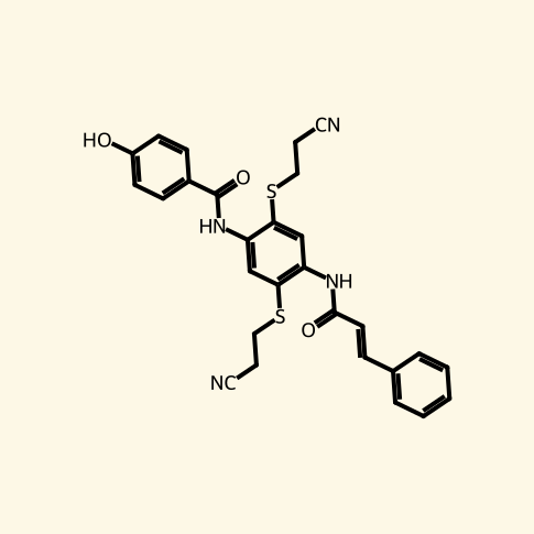 N#CCCSc1cc(NC(=O)c2ccc(O)cc2)c(SCCC#N)cc1NC(=O)/C=C/c1ccccc1